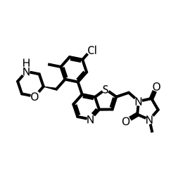 Cc1cc(Cl)cc(-c2ccnc3cc(CN4C(=O)CN(C)C4=O)sc23)c1C[C@@H]1CNCCO1